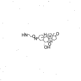 CNCCON=C1CC[C@@]2(C)C(C1)[C@@H](CO)C(=O)[C@@H]1[C@@H]2CC[C@]2(C)C(=O)CC[C@@H]12